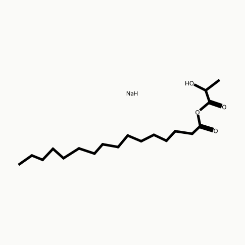 CCCCCCCCCCCCCCCC(=O)OC(=O)C(C)O.[NaH]